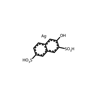 O=S(=O)(O)c1ccc2cc(O)c(S(=O)(=O)O)cc2c1.[Ag]